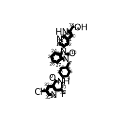 O=C(NC1CCC(Cn2c(=O)n(-c3cnc4[nH]c(CO)cc4c3)c3ccccc32)CC1)c1cc(Cl)cnc1C(F)F